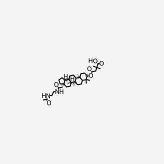 CC(=O)NCCNC(=O)C[C@]12CCC[C@@H]1[C@H]1CCC3[C@@]4(C)CC[C@H](OC(=O)CC(C)(C)C(=O)O)C(C)(C)C4CC[C@@]3(C)[C@]1(C)CC2